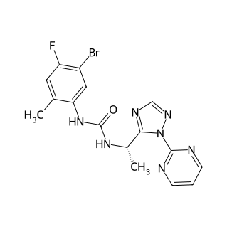 Cc1cc(F)c(Br)cc1NC(=O)N[C@@H](C)c1ncnn1-c1ncccn1